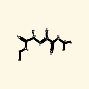 CCOC(=O)[C@H](C)N=[P+]([O-])C(=O)OC(C)C